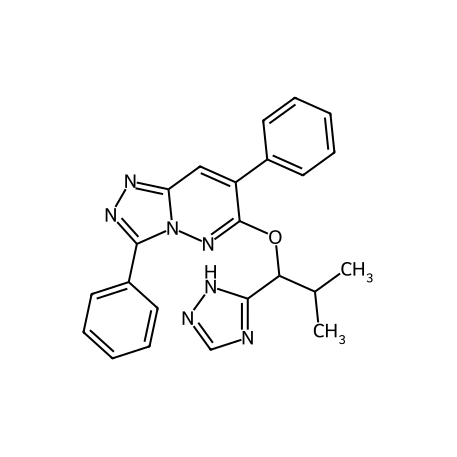 CC(C)C(Oc1nn2c(-c3ccccc3)nnc2cc1-c1ccccc1)c1ncn[nH]1